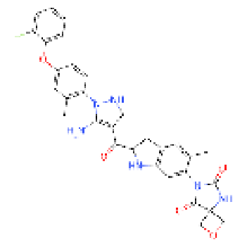 Cc1cc(Oc2ccccc2F)ccc1N1NCC(C(=O)C2Cc3cc(C)c(N4C(=O)NC5(COC5)C4=O)cc3N2)=C1N